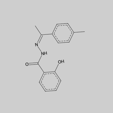 CC(=NNC(=O)c1ccccc1O)c1ccc(C)cc1